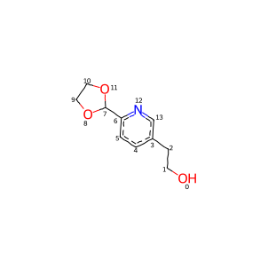 OCCc1ccc(C2OCCO2)nc1